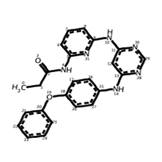 CCC(=O)Nc1cccc(Nc2cc(Nc3ccc(Oc4ccccc4)cc3)ncn2)n1